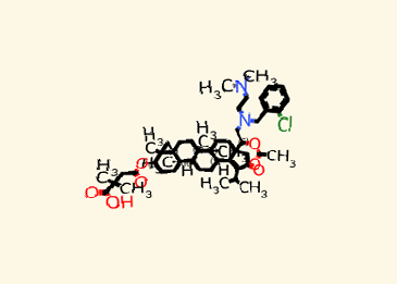 CC(=O)O[C@H](CN(CCN(C)C)Cc1ccccc1Cl)C12CC[C@]3(C)[C@H](CC[C@@H]4[C@@]5(C)CC[C@H](OC(=O)CC(C)(C)C(=O)O)C6(C)C[C@]65CC[C@]43C)C1=C(C(C)C)C(=O)C2